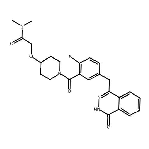 CN(C)C(=O)COC1CCN(C(=O)c2cc(Cc3n[nH]c(=O)c4ccccc34)ccc2F)CC1